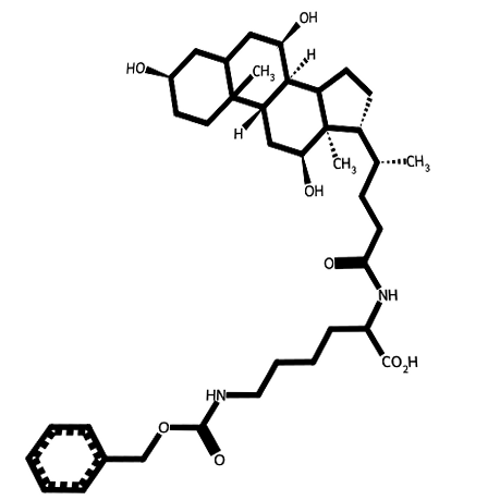 C[C@H](CCC(=O)NC(CCCCNC(=O)OCc1ccccc1)C(=O)O)[C@H]1CCC2[C@@H]3[C@H](O)CC4C[C@H](O)CCC4(C)[C@H]3C[C@H](O)[C@@]21C